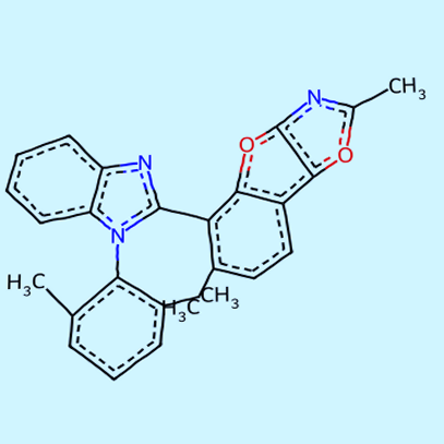 Cc1nc2oc3c(-c4nc5ccccc5n4-c4c(C)cccc4C)c(C)ccc3c2o1